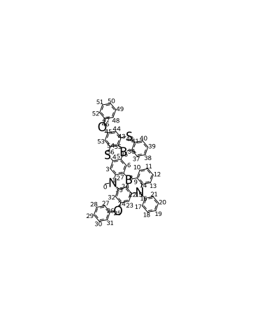 CN1c2cc3c(cc2B2c4ccccc4N(c4ccccc4)c4cc(Oc5ccccc5)cc1c42)B1c2ccccc2Sc2cc(Oc4ccccc4)cc(c21)S3